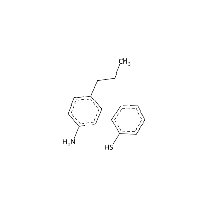 CCCc1ccc(N)cc1.Sc1ccccc1